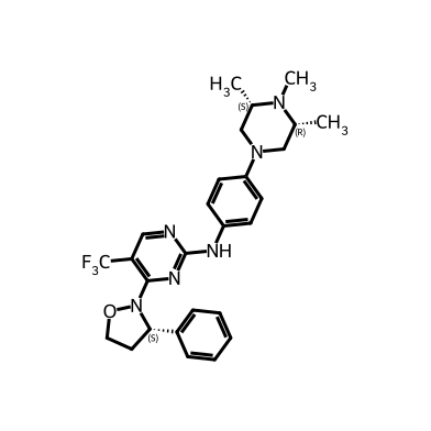 C[C@@H]1CN(c2ccc(Nc3ncc(C(F)(F)F)c(N4OCC[C@H]4c4ccccc4)n3)cc2)C[C@H](C)N1C